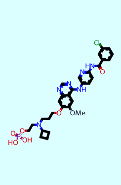 COc1cc2c(Nc3ccc(NC(=O)c4cccc(Cl)c4)nc3)ncnc2cc1OCCCN(CCOP(=O)(O)O)C1CCC1